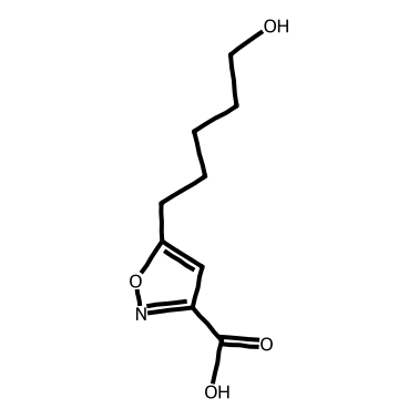 O=C(O)c1cc(CCCCCO)on1